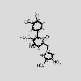 CCn1c(Cn2cc([N+](=O)[O-])c(C)n2)cc(=O)c(C(=O)O)c1-c1ccc(Cl)c(Cl)c1